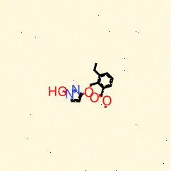 CCc1cccc(C(=O)OC)c1COc1ccn(O)n1